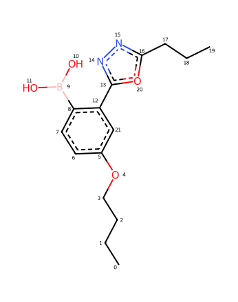 CCCCOc1ccc(B(O)O)c(-c2nnc(CCC)o2)c1